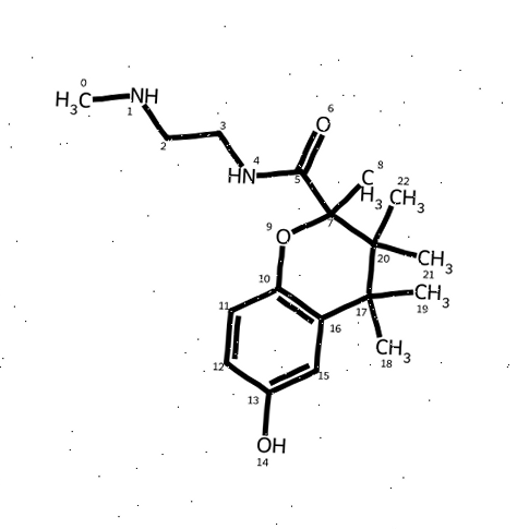 CNCCNC(=O)C1(C)Oc2ccc(O)cc2C(C)(C)C1(C)C